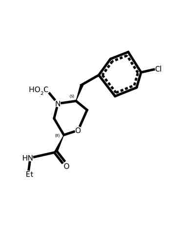 CCNC(=O)[C@H]1CN(C(=O)O)[C@@H](Cc2ccc(Cl)cc2)CO1